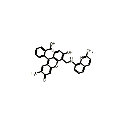 Cc1ccc2cccc(NCc3c(O)ccc4c(-c5ccccc5C(=O)O)c5cc(C)c(=O)cc-5oc34)c2n1